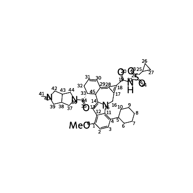 COc1ccc(C2CCCCC2)c2c1cc1n2CC2=C(C(=O)NS(=O)(=O)C3CC3)C2=C2C=CC[C@@H](C(=O)N3CC4CN(C)CC4C3)C21